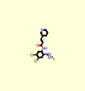 CNc1cc(Cl)c(Cl)cc1NC(=O)/C=C/c1cccnc1